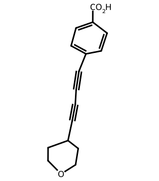 O=C(O)c1ccc(C#CC#CC2CCOCC2)cc1